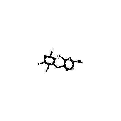 Nc1ncc(Cc2cc(F)cc(F)c2F)c(N)n1